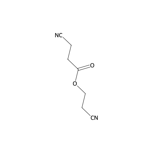 N#CCCOC(=O)CCC#N